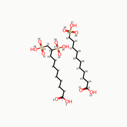 O=C(O)CCCCCCCCC(CS(=O)(=O)O)S(=O)(=O)O.O=C(O)CCCCCCCCCCS(=O)(=O)O